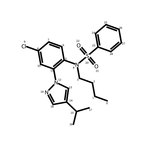 CCCCN(c1ccc(Cl)cc1-n1cc(C(C)C)cn1)S(=O)(=O)c1ccccc1